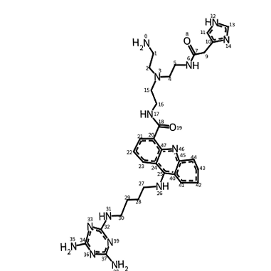 NCCN(CCNC(=O)Cc1c[nH]cn1)CCNC(=O)c1cccc2c(NCCCCNc3nc(N)nc(N)n3)c3ccccc3nc12